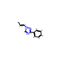 C/C=C/n1cnc(-c2ccccc2)n1